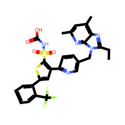 CCc1nc2c(C)cc(C)nc2n1Cc1ccc(-c2cc(-c3ccccc3C(F)(F)F)sc2S(=O)(=O)NC(=O)O)nc1